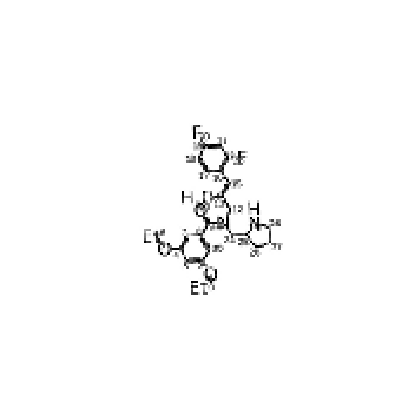 CCOc1cc(OCC)cc(C(=O)N(C/C(C)=C/c2ccc(F)cc2F)CC2CCCN2)c1